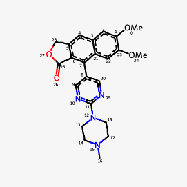 COc1cc2cc3c(c(-c4cnc(N5CCN(C)CC5)nc4)c2cc1OC)C(=O)OC3